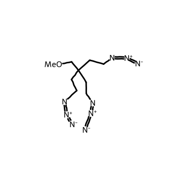 COCC(CCN=[N+]=[N-])(CCN=[N+]=[N-])CCN=[N+]=[N-]